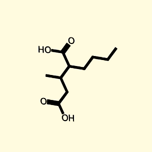 CCCCC(C(=O)O)C(C)CC(=O)O